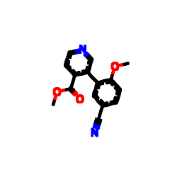 COC(=O)c1ccncc1-c1cc(C#N)ccc1OC